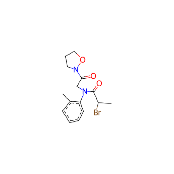 Cc1ccccc1N(CC(=O)N1CCCO1)C(=O)C(C)Br